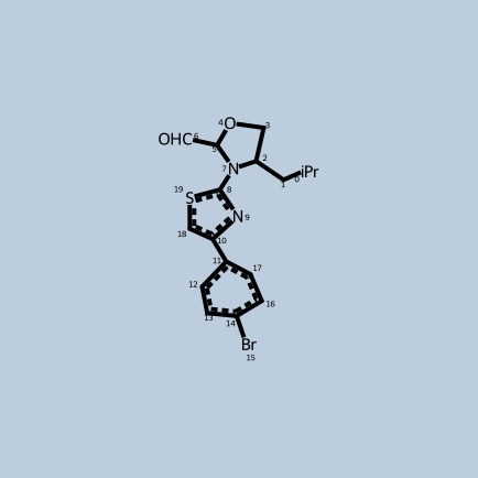 CC(C)CC1COC(C=O)N1c1nc(-c2ccc(Br)cc2)cs1